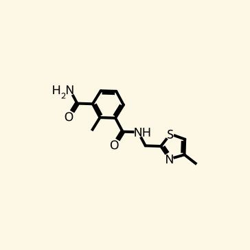 Cc1csc(CNC(=O)c2cccc(C(N)=O)c2C)n1